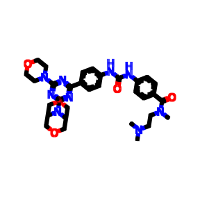 CN(C)CCN(C)C(=O)c1ccc(NC(=O)Nc2ccc(-c3nc(N4CCOCC4)nc(N4C5COCC4COC5)n3)cc2)cc1